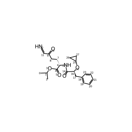 CC(C)OC(=O)[C@H](CCC(=O)C=N)NC(=O)[C@H](Cc1ccccc1)OC1CC1